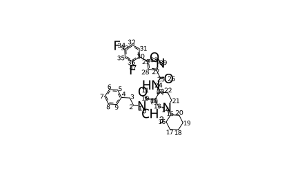 CN(CCc1ccccc1)C(=O)[C@@H]1CN(C2CCCCC2)CC[C@H]1NC(=O)c1cc(-c2ccc(F)cc2F)on1